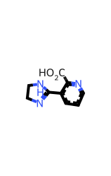 O=C(O)c1ncccc1C1=NCCN1